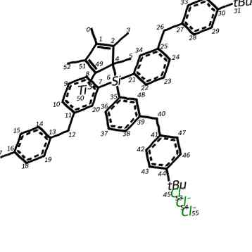 CC1=C(C)C(C)([Si](c2cccc(Cc3ccc(C(C)(C)C)cc3)c2)(c2cccc(Cc3ccc(C(C)(C)C)cc3)c2)c2cccc(Cc3ccc(C(C)(C)C)cc3)c2)[C]([Ti+3])=C1C.[Cl-].[Cl-].[Cl-]